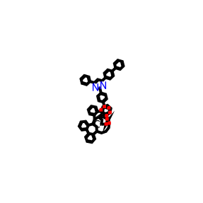 c1ccc(-c2ccc(-c3cc(-c4ccccc4)nc(-c4ccc(-c5ccc6c(c5)C57CC8CCCCC9CC(CC(C5)c5ccccc5-6)(c5ccccc5-c5ccccc59)C7c5ccccc5-c5ccccc58)cc4)n3)cc2)cc1